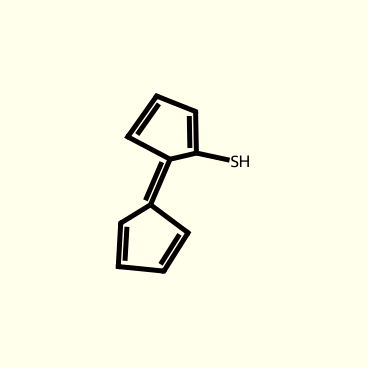 SC1=CC=CC1=C1C=CC=C1